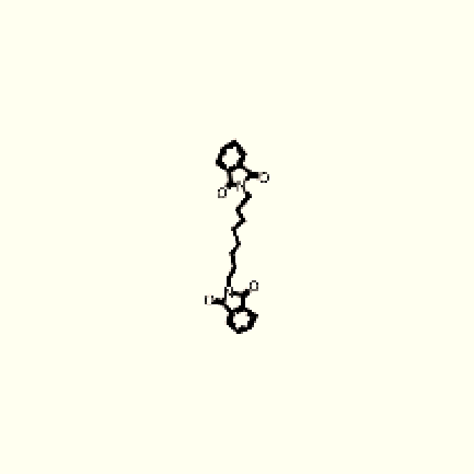 O=C1c2ccccc2C(=O)N1CCCCCCCCN1C(=O)c2ccccc2C1=O